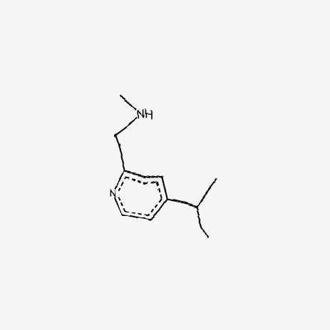 CNCc1cc(C(C)C)ccn1